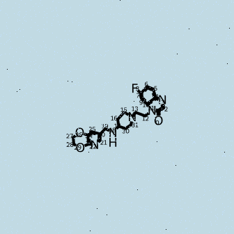 O=c1cnc2ccc(F)cc2n1CCN1CCC(NCc2cnc3c(c2)OCCO3)CC1